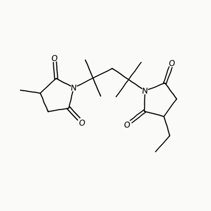 CCC1CC(=O)N(C(C)(C)CC(C)(C)N2C(=O)CC(C)C2=O)C1=O